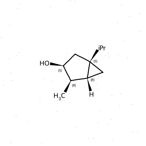 CC(C)[C@@]12C[C@@H]1[C@@H](C)[C@@H](O)C2